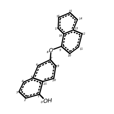 Oc1cccc2cc(Oc3cccc4ccccc34)ccc12